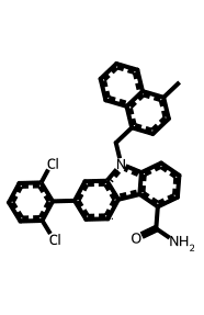 Cc1ccc(Cn2c3cc(-c4c(Cl)cccc4Cl)c[c]c3c3c(C(N)=O)cccc32)c2ccccc12